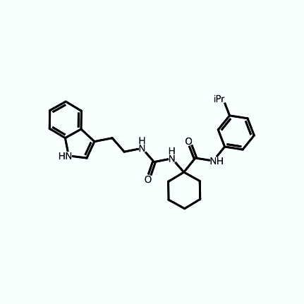 CC(C)c1cccc(NC(=O)C2(NC(=O)NCCc3c[nH]c4ccccc34)CCCCC2)c1